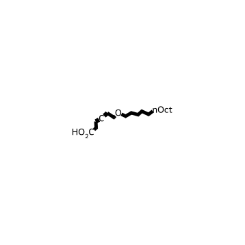 CCCCCCCCCCCCCOCC=C=CCC(=O)O